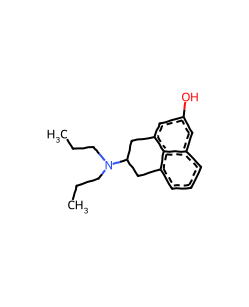 CCCN(CCC)C1Cc2cccc3cc(O)cc(c23)C1